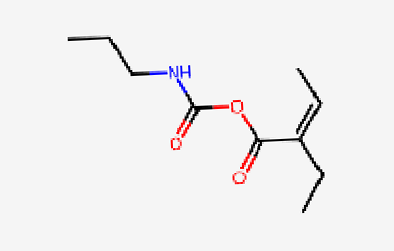 CC=C(CC)C(=O)OC(=O)NCCC